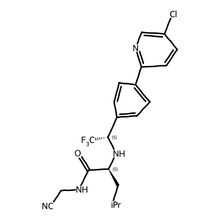 CC(C)C[C@H](N[C@@H](c1ccc(-c2ccc(Cl)cn2)cc1)C(F)(F)F)C(=O)NCC#N